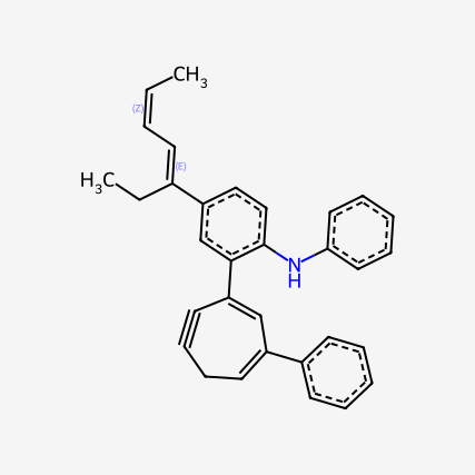 C/C=C\C=C(/CC)c1ccc(Nc2ccccc2)c(C2=CC(c3ccccc3)=CCC#C2)c1